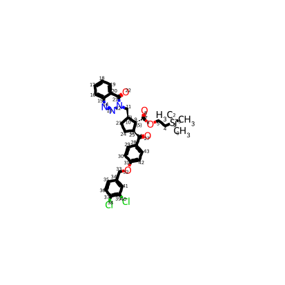 C[Si](C)(C)CCOC(=O)[C@H]1[C@H](Cn2nnc3ccccc3c2=O)CC[C@@H]1C(=O)c1ccc(OCc2ccc(Cl)c(Cl)c2)cc1